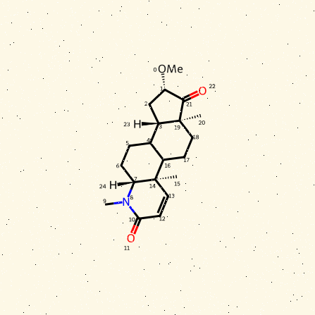 CO[C@H]1C[C@H]2C3CC[C@H]4N(C)C(=O)C=C[C@]4(C)C3CC[C@]2(C)C1=O